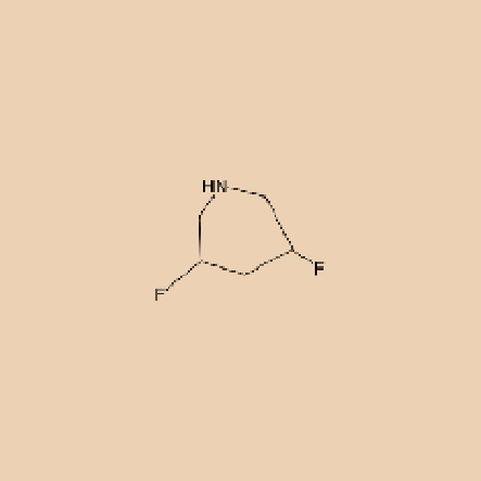 FC1CNCC(F)C1